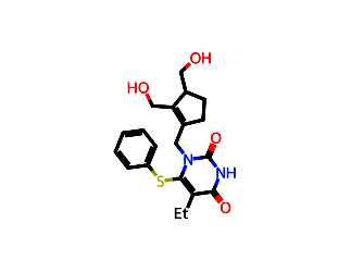 CCc1c(Sc2ccccc2)n(CC2=C(CO)C(CO)CC2)c(=O)[nH]c1=O